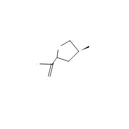 C[C@@H]1COC(C(=O)O)C1